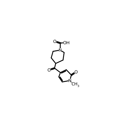 Cn1ccc(C(=O)C2CCN(C(=O)O)CC2)cc1=O